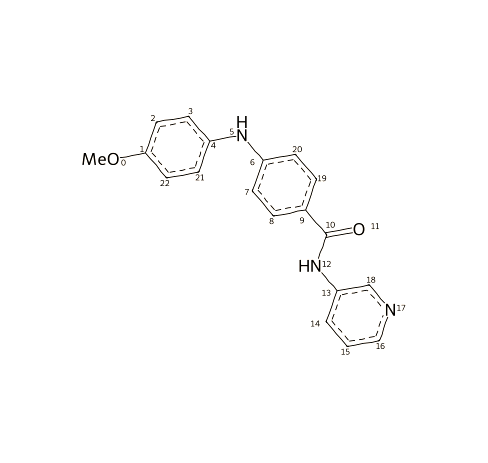 COc1ccc(Nc2ccc(C(=O)Nc3cccnc3)cc2)cc1